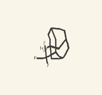 NC12CC3CC(C1)C(C(F)(F)F)C(C3)C2